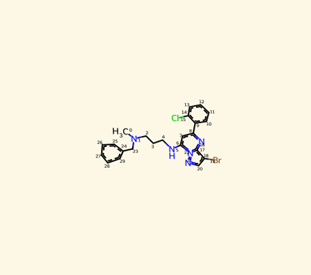 CN(CCCNc1cc(-c2ccccc2Cl)nc2c(Br)cnn12)Cc1ccccc1